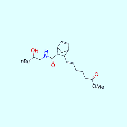 CCCCC(O)CNC(=O)C1C2C=CC(C2)C1C=CCCCC(=O)OC